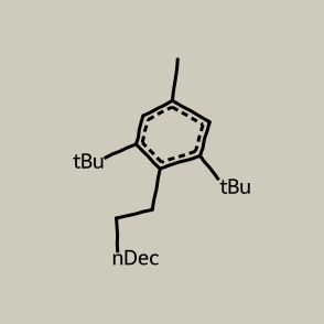 [CH2]CCCCCCCCCCCc1c(C(C)(C)C)cc(C)cc1C(C)(C)C